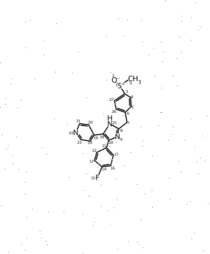 C[S+]([O-])c1ccc(Cc2nc(-c3ccc(F)cc3)c(-c3ccncc3)[nH]2)cc1